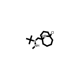 CNN(CC12BC(Cl)(CCCC1)CCC2)C(C)(C)C